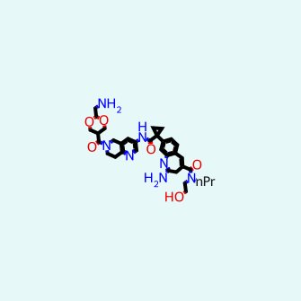 CCCN(CCO)C(=O)C1=Cc2ccc(C3(C(=O)Nc4cnc5c(c4)CN(C(=O)C4COC(CN)OC4)CC5)CC3)cc2N=C(N)C1